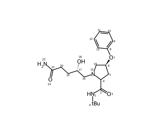 CC(C)(C)NC(=O)C1C[C@H](Oc2ccccc2)CN1C[C@@H](O)CCC(N)=O